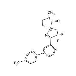 CN1CC[C@@]2(CC(F)(F)C(c3cc(-c4ccc(C(F)(F)F)cc4)ccn3)=N2)C1=O